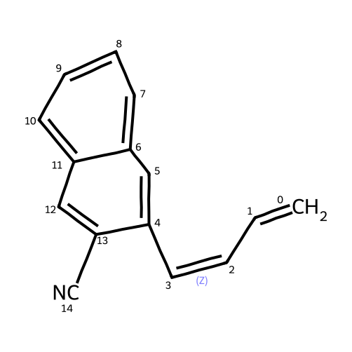 C=C/C=C\c1cc2ccccc2cc1C#N